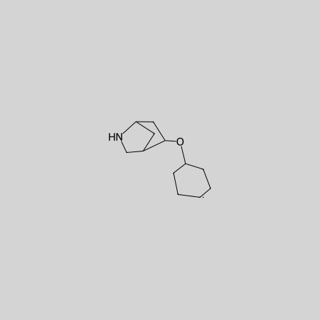 [CH]1CCC(OC2CC3CC2CN3)CC1